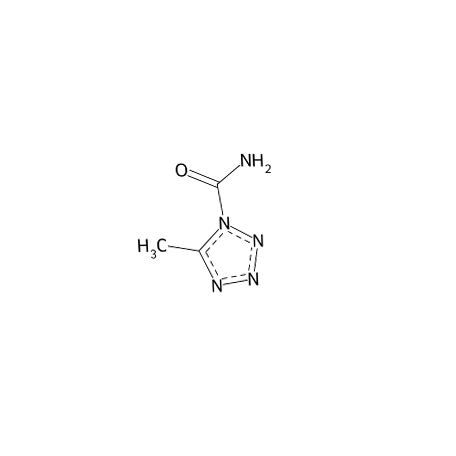 Cc1nnnn1C(N)=O